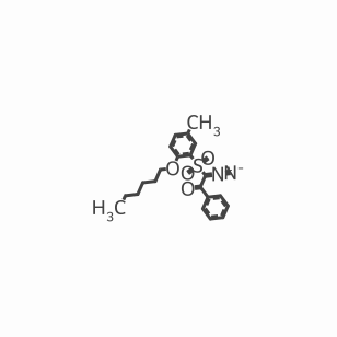 CCCCCCOc1ccc(C)cc1S(=O)(=O)C(=[N+]=[N-])C(=O)c1ccccc1